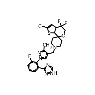 Cc1nn(-c2c(F)cccc2-c2nc[nH]n2)cc1CN1CCC2(CC1)OCC(F)(F)C1C=C(Cl)SC12